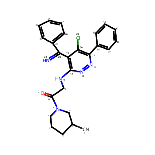 N#CC1CCCN(C(=O)CNc2nnc(-c3ccccc3)c(Cl)c2C(=N)c2ccccc2)C1